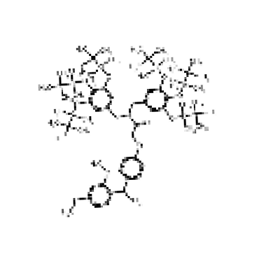 COc1ccc(C(N)c2ccc(OCC(=O)N(Cc3cc(O[Si](C)(C)C(C)(C)C)c(O[Si](C)(C)C(C)(C)C)c(O[Si](C)(C)C(C)(C)C)c3)Cc3cc(O[Si](C)(C)C(C)(C)C)c(O[Si](C)(C)C(C)(C)C)c(O[Si](C)(C)C(C)(C)C)c3)cc2)c(OC)c1